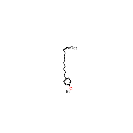 CCCCCCCC/C=C\CCCCCCCCc1ccc(OCC)cc1